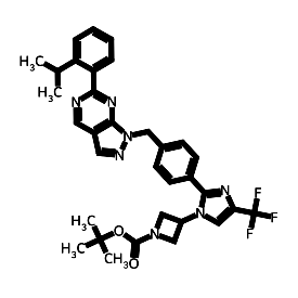 CC(C)c1ccccc1-c1ncc2cnn(Cc3ccc(-c4nc(C(F)(F)F)cn4C4CN(C(=O)OC(C)(C)C)C4)cc3)c2n1